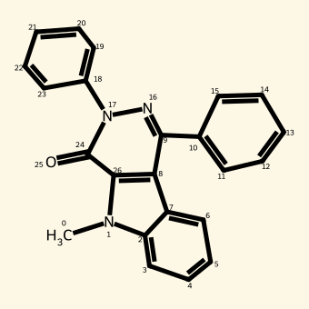 Cn1c2ccccc2c2c(-c3ccccc3)nn(-c3ccccc3)c(=O)c21